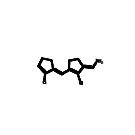 N/C=C1\CCC(/C=C2\CCC=C2Cl)=C1Cl